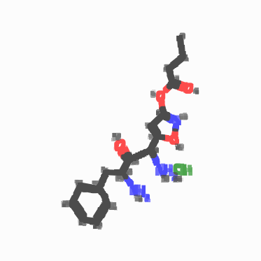 CCCC(=O)Oc1cc(C(N)C(=O)[C@@H](N)Cc2ccccc2)on1.Cl